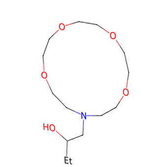 CCC(O)CN1CCOCCOCCOCCOCC1